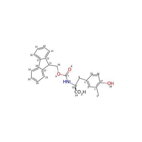 Cc1cc(C[C@H](NC(=O)OCC2c3ccccc3-c3ccccc32)C(=O)O)ccc1O